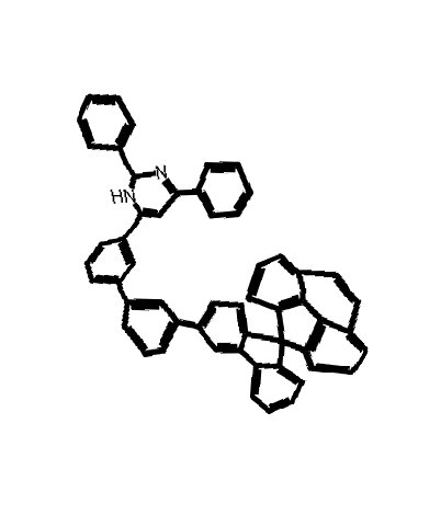 C1=C(c2cccc(-c3cccc(-c4ccc5c(c4)-c4ccccc4C54c5cccc6ccc7cccc4c7c56)c3)c2)NC(c2ccccc2)N=C1c1ccccc1